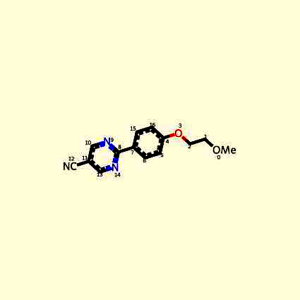 COCCOc1ccc(-c2ncc(C#N)cn2)cc1